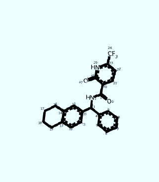 O=C(NC(c1ccccc1)c1ccc2c(c1)CCCC2)c1ccc(C(F)(F)F)[nH]c1=O